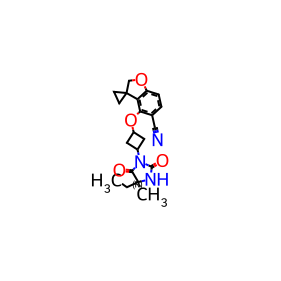 CC[C@@]1(C)NC(=O)N(C2CC(Oc3c(C#N)ccc4c3C3(CC3)CO4)C2)C1=O